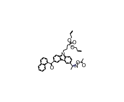 C=CCOP(=O)(CCCn1c2ccc(C(=O)c3cccc4ccccc34)cc2c2cc(/C(C)=N\OC(C)=O)ccc21)OCC=C